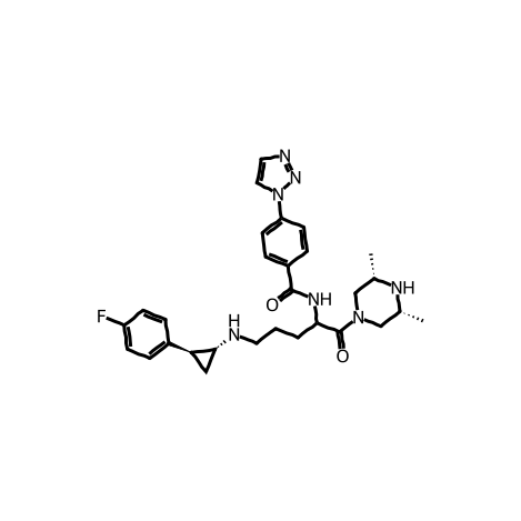 C[C@@H]1CN(C(=O)C(CCCN[C@@H]2C[C@H]2c2ccc(F)cc2)NC(=O)c2ccc(-n3ccnn3)cc2)C[C@H](C)N1